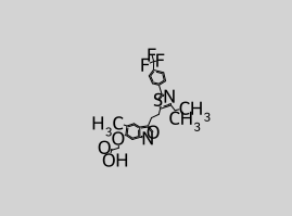 Cc1cc2c(CCc3sc(-c4ccc(C(F)(F)F)cc4)nc3C(C)C)onc2cc1OCC(=O)O